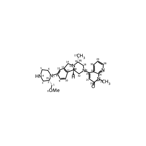 COC[C@@H]1CNCCN1c1ccc2c(c1)CN1[C@H](C)CN(c3cc(=O)n(C)c4ncccc34)C[C@H]21